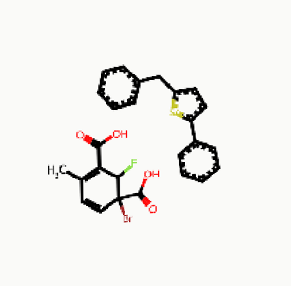 CC1=C(C(=O)O)C(F)C(Br)(C(=O)O)C=C1.c1ccc(Cc2ccc(-c3ccccc3)s2)cc1